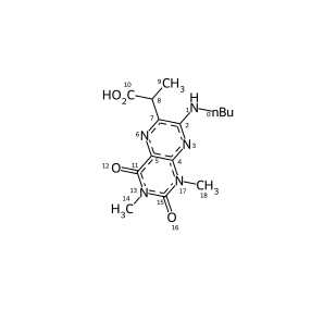 CCCCNc1nc2c(nc1C(C)C(=O)O)c(=O)n(C)c(=O)n2C